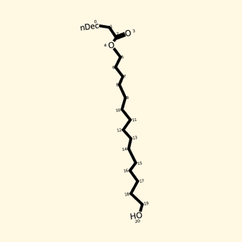 CCCCCCCCCCCC(=O)OCCCCCCCCCCCCCCCO